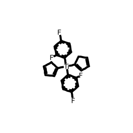 Fc1cc[c]([Ti]([C]2=CC=CC2)([C]2=CC=CC2)[c]2ccc(F)cc2F)c(F)c1